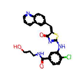 O=C1N=C(Nc2cc(C(=O)NCCCO)ccc2Cl)SC1=Cc1ccc2ncccc2c1